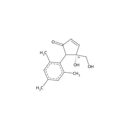 Cc1cc(C)c(C2C(=O)C=C[C@@]2(O)CO)c(C)c1